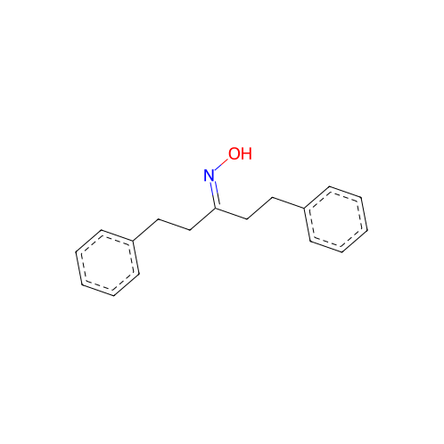 ON=C(CCc1ccccc1)CCc1ccccc1